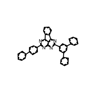 c1ccc(-c2ccc(-c3nc4c5c(nc(-c6cc(-c7ccccc7)cc(-c7ccccc7)c6)nc5n3)-c3ccccc3-4)cc2)cc1